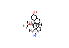 CO[C@@H]1C[C@@]2(C)C(CC[C@@H]2C#N)[C@@H]2CCC3C[C@H](O)CC[C@]3(C)[C@@H]12